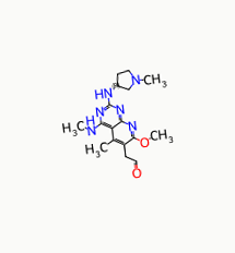 CNc1nc(N[C@@H]2CCN(C)C2)nc2nc(OC)c(CC=O)c(C)c12